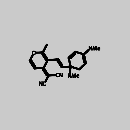 CNC1=CCC(C=CC2=C(C)OC=CC2=C(C#N)C#N)(NC)C=C1